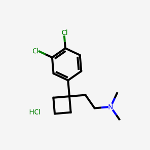 CN(C)CCC1(c2ccc(Cl)c(Cl)c2)CCC1.Cl